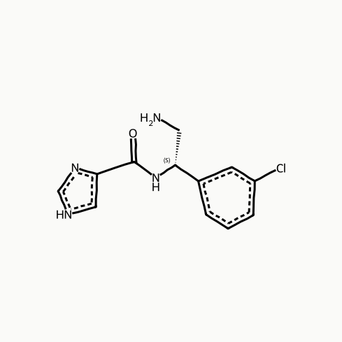 NC[C@@H](NC(=O)c1c[nH]cn1)c1cccc(Cl)c1